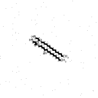 CCCCCCCCCCCCCCCCOC(=O)CCS.CCCCCCCCCCCCCCCCOC(=O)CCS.[Zn]